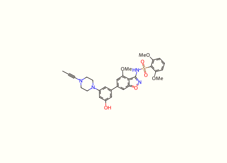 CC#CN1CCN(c2cc(O)cc(-c3cc(OC)c4c(NS(=O)(=O)c5c(OC)cccc5OC)noc4c3)c2)CC1